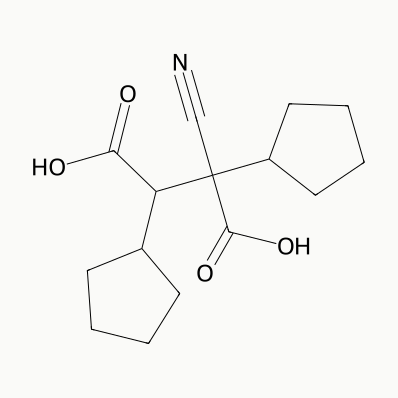 N#CC(C(=O)O)(C1CCCC1)C(C(=O)O)C1CCCC1